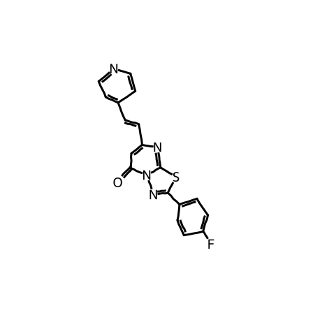 O=c1cc(/C=C/c2ccncc2)nc2sc(-c3ccc(F)cc3)nn12